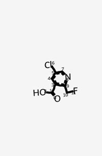 O=C(O)c1cc(Cl)cnc1CF